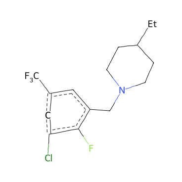 CCC1CCN(Cc2cc(C(F)(F)F)cc(Cl)c2F)CC1